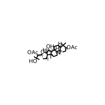 CC(=O)O[C@H]1CC[C@]23C[C@]24CC[C@]2(C)C5[C@H](C)C[C@H]([C@H](OC(C)=O)C(C)(C)O)O[C@@H]5[C@H](O)[C@@]2(C)[C@@H]4CC[C@H]3C1(C)C